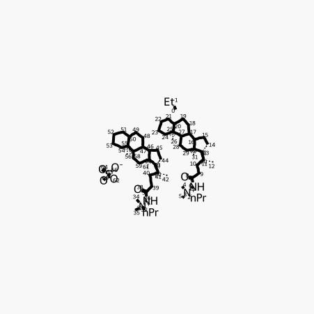 CCC.CCC[N+](C)(C)NC(=O)CC[C@@H](C)[C@H]1CCC2C3CCC4CCCC[C@]4(C)C3CC[C@@]21C.CCC[N+](C)(C)NC(=O)CC[C@@H](C)[C@H]1CCC2C3CCC4CCCC[C@]4(C)C3CC[C@@]21C.O=S(=O)([O-])[O-]